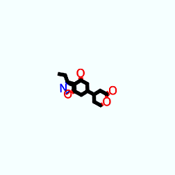 CCc1noc2c1C(=O)CC(C1CCOC(=O)C1)C2